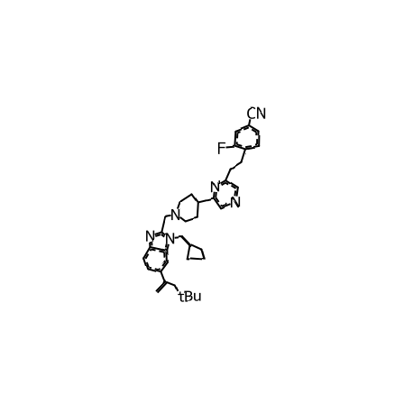 C=C(CC(C)(C)C)c1ccc2nc(CN3CCC(c4cncc(CCc5ccc(C#N)cc5F)n4)CC3)n(CC3CCC3)c2c1